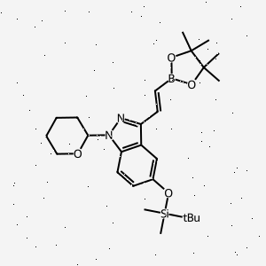 CC1(C)OB(C=Cc2nn(C3CCCCO3)c3ccc(O[Si](C)(C)C(C)(C)C)cc23)OC1(C)C